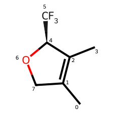 CC1=C(C)[C@H](C(F)(F)F)OC1